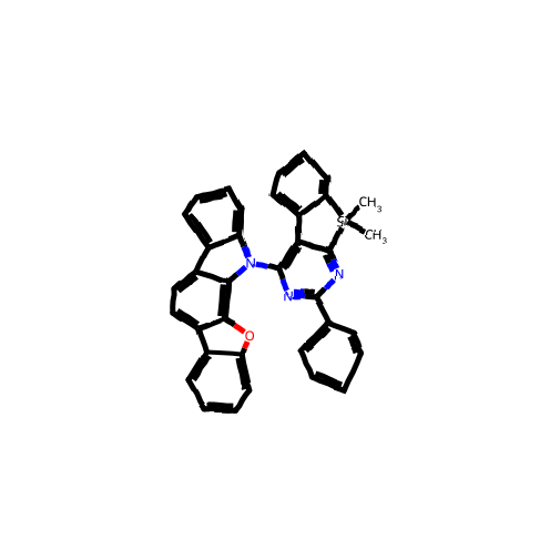 C[Si]1(C)c2ccccc2-c2c(-n3c4ccccc4c4ccc5c6ccccc6oc5c43)nc(-c3ccccc3)nc21